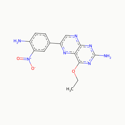 CCOc1nc(N)nc2ncc(-c3ccc(N)c([N+](=O)[O-])c3)nc12